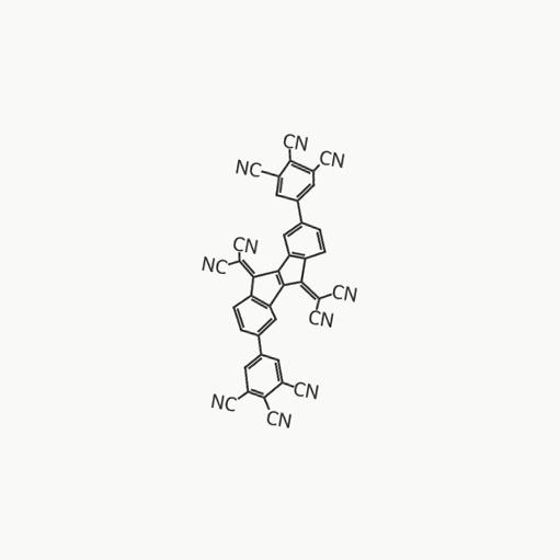 N#CC(C#N)=C1C2=C(C(=C(C#N)C#N)c3ccc(-c4cc(C#N)c(C#N)c(C#N)c4)cc32)c2cc(-c3cc(C#N)c(C#N)c(C#N)c3)ccc21